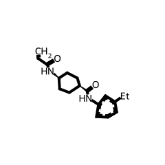 C=CC(=O)N[C@H]1CC[C@@H](C(=O)Nc2cccc(CC)c2)CC1